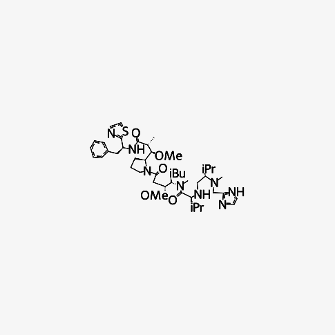 CC[C@H](C)[C@@H]([C@@H](CC(=O)N1CCC[C@H]1[C@H](OC)[C@@H](C)C(=O)N[C@@H](Cc1ccccc1)c1nccs1)OC)N(C)C(=O)[C@@H](NC[C@H](C(C)C)N(C)Cc1ncc[nH]1)C(C)C